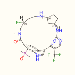 CN1C[C@H](F)CCN[C@H]2CC[C@@H](C2)Nc2ncc(C(F)(F)F)c(n2)-c2c[nH]c3c(P(C)(C)=O)c(ccc23)C1=O